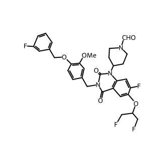 COc1cc(Cn2c(=O)c3cc(OC(CF)CF)c(F)cc3n(C3CCN(C=O)CC3)c2=O)ccc1OCc1cccc(F)c1